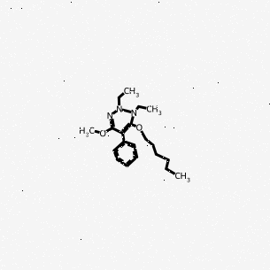 CCCCCCOC1=C(c2ccccc2)C(OC)=NN(CC)N1CC